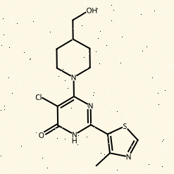 Cc1ncsc1-c1nc(N2CCC(CO)CC2)c(Cl)c(=O)[nH]1